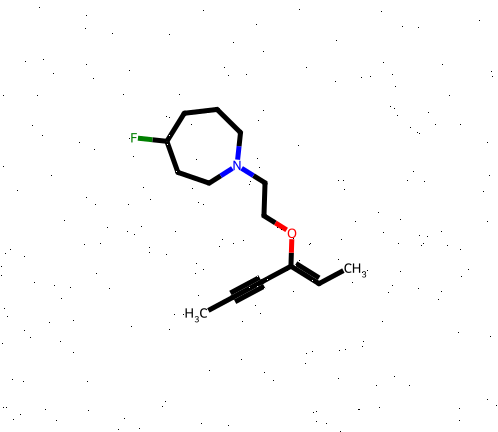 CC#C/C(=C/C)OCCN1CCCC(F)CC1